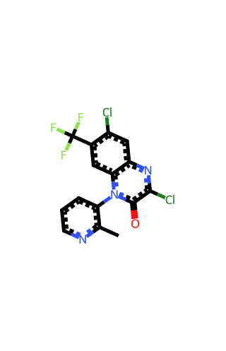 Cc1ncccc1-n1c(=O)c(Cl)nc2cc(Cl)c(C(F)(F)F)cc21